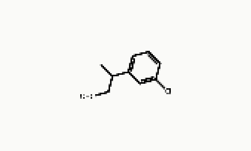 CC(CC=O)c1cccc(Cl)c1